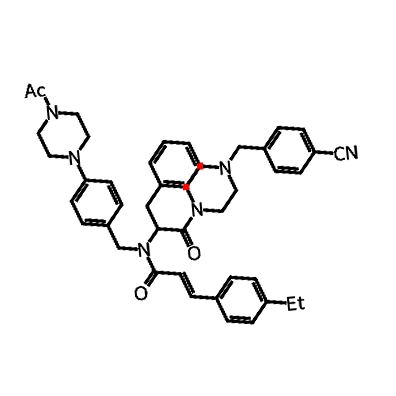 CCc1ccc(C=CC(=O)N(Cc2ccc(N3CCN(C(C)=O)CC3)cc2)C(Cc2ccccc2)C(=O)N2CCN(Cc3ccc(C#N)cc3)CC2)cc1